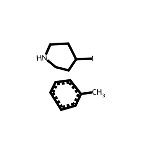 Cc1ccccc1.IC1CCNCC1